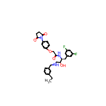 CCc1cccc(CNC[C@H](O)[C@H](Cc2cc(F)cc(F)c2)NC(=O)COc2ccc(N3C(=O)CCC3=O)cc2)c1